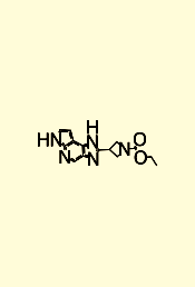 CCOC(=O)N1CC(c2nc3cnc4[nH]ccc4c3[nH]2)C1